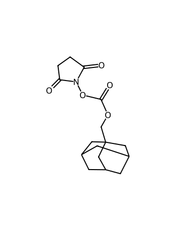 O=C(OCC12CC3CC(CC(C3)C1)C2)ON1C(=O)CCC1=O